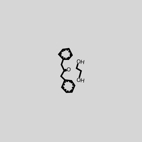 O=C(Cc1ccccc1)Cc1ccccc1.OCCO